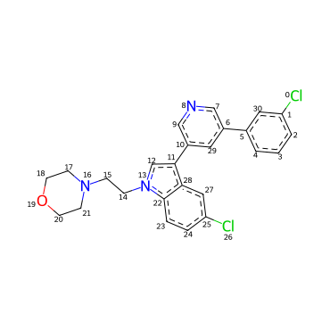 Clc1cccc(-c2cncc(-c3cn(CCN4CCOCC4)c4ccc(Cl)cc34)c2)c1